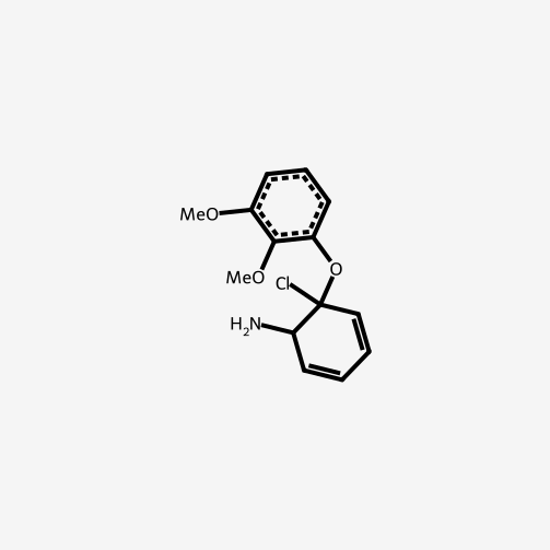 COc1cccc(OC2(Cl)C=CC=CC2N)c1OC